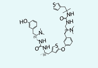 C[C@@H](Cc1csc(Oc2cccc(C[C@@H](CNC(=O)NC(C)(C)Cc3ccsc3)N(C)C)c2)c1)NC(=O)NC[C@H](Cc1cccc(O)c1)N(C)C